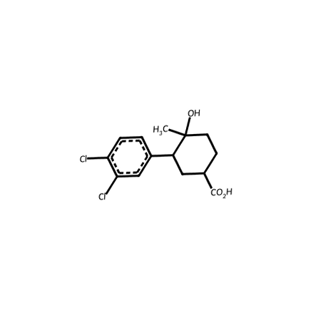 CC1(O)CCC(C(=O)O)CC1c1ccc(Cl)c(Cl)c1